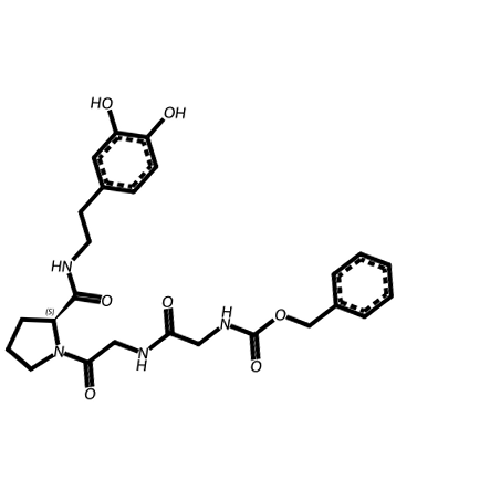 O=C(CNC(=O)OCc1ccccc1)NCC(=O)N1CCC[C@H]1C(=O)NCCc1ccc(O)c(O)c1